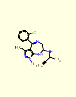 C#CC(C)NC1CN=C(c2ccccc2Cl)c2c(C)nn(C)c2N1